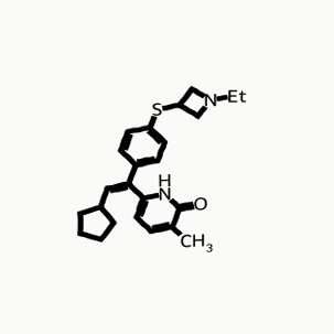 CCN1CC(Sc2ccc(C(=CC3CCCC3)c3ccc(C)c(=O)[nH]3)cc2)C1